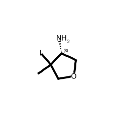 CC1(I)COC[C@H]1N